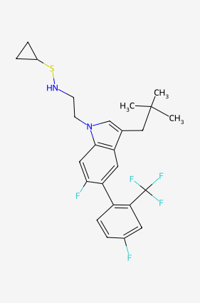 CC(C)(C)Cc1cn(CCNSC2CC2)c2cc(F)c(-c3ccc(F)cc3C(F)(F)F)cc12